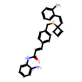 Cc1ccccc1/C=C\C1(SCc2ccc(/C=C/C(=O)Nc3ccccc3N)cc2)C=CC1